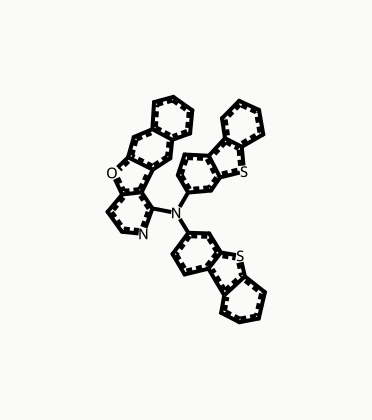 c1ccc2cc3c(cc2c1)oc1ccnc(N(c2ccc4c(c2)sc2ccccc24)c2ccc4c(c2)sc2ccccc24)c13